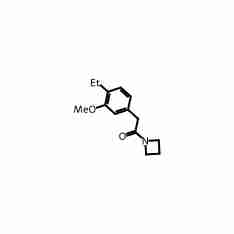 CCc1ccc(CC(=O)N2CCC2)cc1OC